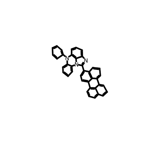 c1ccc(N2c3ccccc3-n3c(-c4ccc5c6cccc7cccc(c8cccc4c85)c76)nc4cccc2c43)cc1